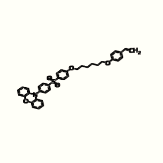 C=Cc1ccc(OCCCCCCOc2ccc(S(=O)(=O)c3ccc(N4c5ccccc5Oc5ccccc54)cc3)cc2)cc1